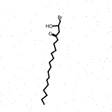 CCCCCCCCCCCCCCCC(=O)CC(O)CBr